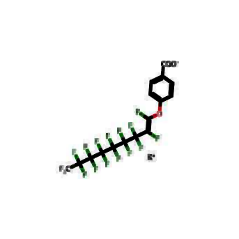 O=C([O-])c1ccc(OC(F)=C(F)C(F)(F)C(F)(F)C(F)(F)C(F)(F)C(F)(F)C(F)(F)C(F)(F)F)cc1.[K+]